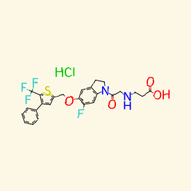 Cl.O=C(O)CCNCC(=O)N1CCc2cc(OCc3cc(-c4ccccc4)c(C(F)(F)F)s3)c(F)cc21